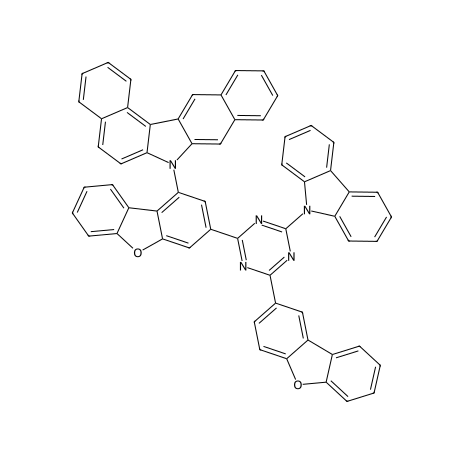 c1ccc2cc3c(cc2c1)c1c2ccccc2ccc1n3-c1cc(-c2nc(-c3ccc4oc5ccccc5c4c3)nc(-n3c4ccccc4c4ccccc43)n2)cc2oc3ccccc3c12